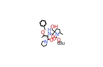 CC1CCC(CO)(C(=O)N[C@H](C(=O)N2CCCC2)[C@@H](C)OCc2ccccc2)N1C(=O)OC(C)(C)C